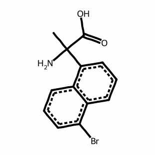 CC(N)(C(=O)O)c1cccc2c(Br)cccc12